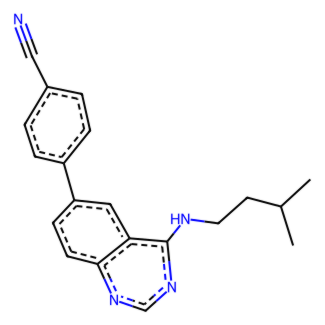 CC(C)CCNc1ncnc2ccc(-c3ccc(C#N)cc3)cc12